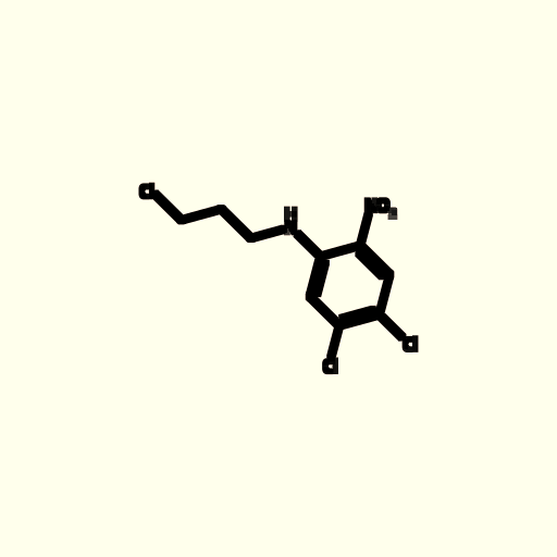 O=[N+]([O-])c1cc(Cl)c(Cl)cc1NCCCCl